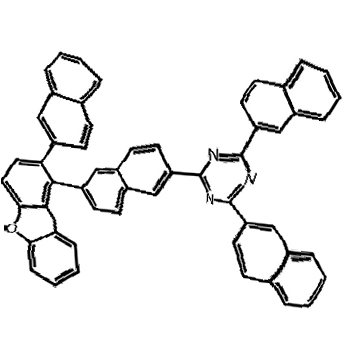 c1ccc2cc(-c3nc(-c4ccc5ccccc5c4)nc(-c4ccc5cc(-c6c(-c7ccc8ccccc8c7)ccc7oc8ccccc8c67)ccc5c4)n3)ccc2c1